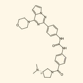 CN(C)[C@H]1CCN(C(=O)c2ccc(NC(=O)Nc3ccc(-c4nc(N5CCOCC5)c5cccn5n4)cc3)cc2)C1